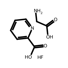 F.NCC(=O)O.O=C(O)c1ccccn1